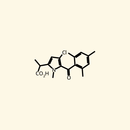 Cc1cc(C)c(C(=O)c2c(Cl)cc(C(C)C(=O)O)n2C)c(C)c1